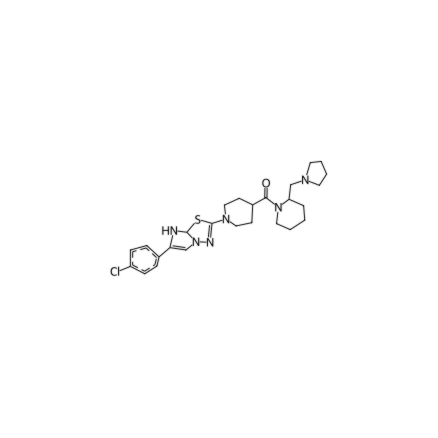 O=C(C1CCN(C2=NN3C=C(c4ccc(Cl)cc4)NC3S2)CC1)N1CCCCC1CN1CCCC1